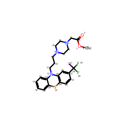 CC(C)(C)OC(=O)CN1CCN(CCCN2c3ccccc3Sc3ccc(C(F)(F)I)cc32)CC1